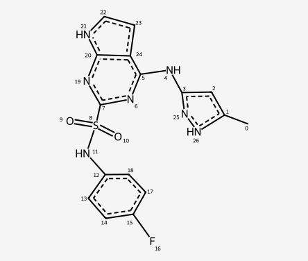 Cc1cc(Nc2nc(S(=O)(=O)Nc3ccc(F)cc3)nc3[nH]ccc23)n[nH]1